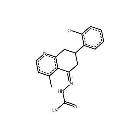 Cc1ccnc2c1/C(=N\NC(=N)N)CC(c1ccccc1Cl)C2